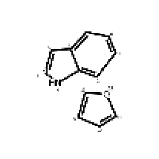 c1ccc2[nH]ncc2c1.c1ccoc1